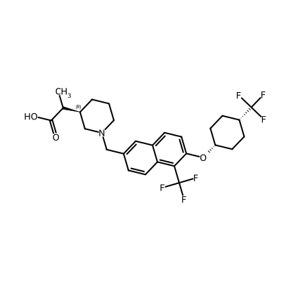 CC(C(=O)O)[C@H]1CCCN(Cc2ccc3c(C(F)(F)F)c(O[C@H]4CC[C@@H](C(F)(F)F)CC4)ccc3c2)C1